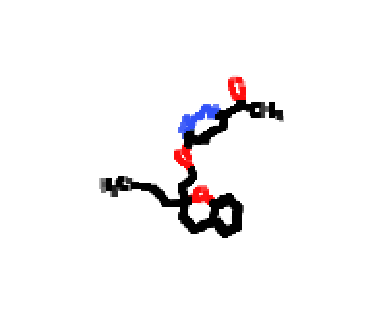 CCCC1(CCOc2ccc(C(C)=O)nn2)CCc2ccccc2O1